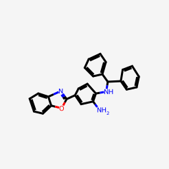 Nc1cc(-c2nc3ccccc3o2)ccc1NC(c1ccccc1)c1ccccc1